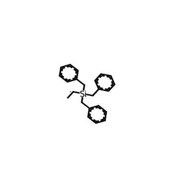 C[CH][Si](Cc1ccccc1)(Cc1ccccc1)Cc1ccccc1